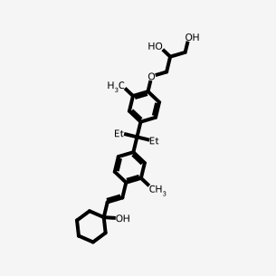 CCC(CC)(c1ccc(C=CC2(O)CCCCC2)c(C)c1)c1ccc(OCC(O)CO)c(C)c1